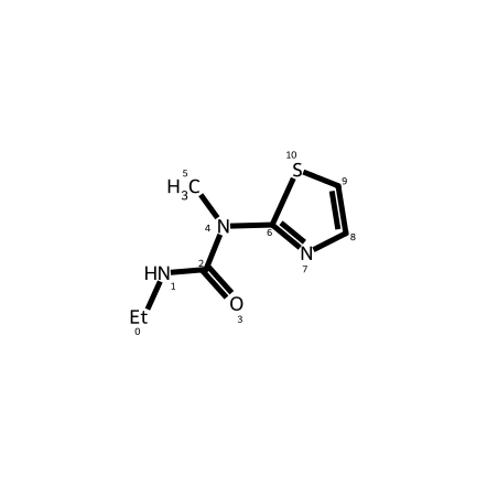 CCNC(=O)N(C)c1nccs1